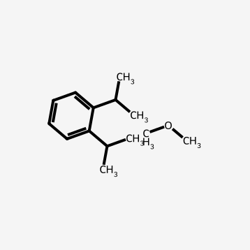 CC(C)c1ccccc1C(C)C.COC